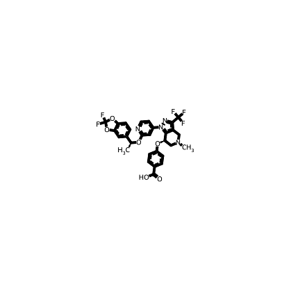 C[C@H](Oc1cc(-n2nc(C(F)(F)F)c3c2[C@H](Oc2ccc(C(=O)O)cc2)CN(C)C3)ccn1)c1ccc2c(c1)OC(F)(F)O2